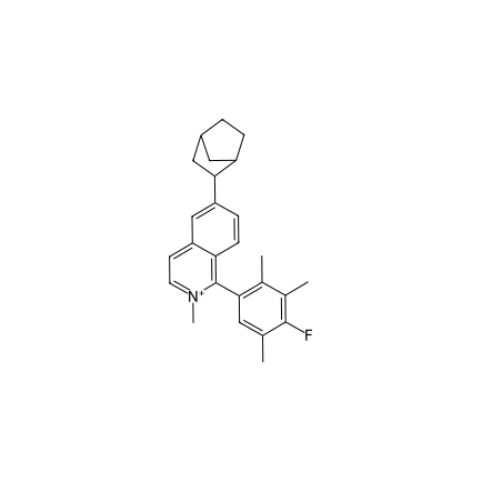 Cc1cc(-c2c3ccc(C4CC5CCC4C5)cc3cc[n+]2C)c(C)c(C)c1F